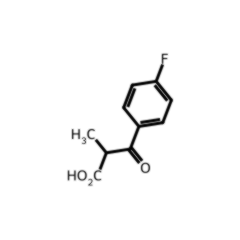 CC(C(=O)O)C(=O)c1ccc(F)cc1